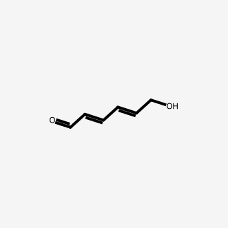 O=CC=CC=CCO